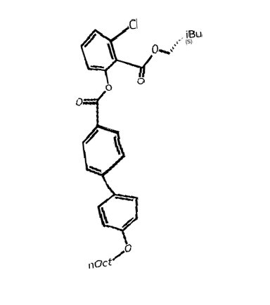 CCCCCCCCOc1ccc(-c2ccc(C(=O)Oc3cccc(Cl)c3C(=O)OC[C@@H](C)CC)cc2)cc1